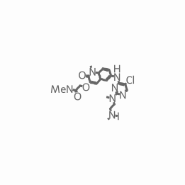 CNC(=O)COC1=CC2C=C(Nc3nc(N(C)CCN(C)I)ncc3Cl)C=CC2N(C)C1=O